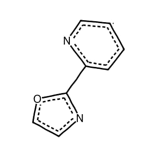 [c]1ccc(-c2ncco2)nc1